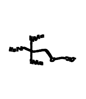 CNC(CO[C]=O)(NC)NC